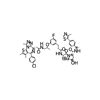 Cc1ncsc1-c1ccc([C@H](C)NC(=O)[C@@H]2C[C@@H](O)CN2C(=O)C(NC(=O)CCc2cc(F)cc(OC(C)CNC(=O)C[C@@H]3N=C(c4ccc(Cl)cc4)c4c(sc(C)c4C)-n4c(C)nnc43)c2)C(C)(C)C)cc1